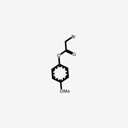 COc1ccc(OC(=O)CBr)cc1